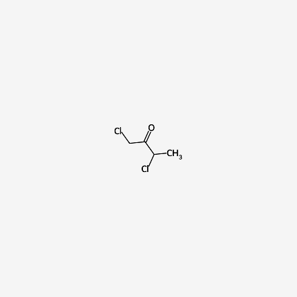 CC(Cl)C(=O)CCl